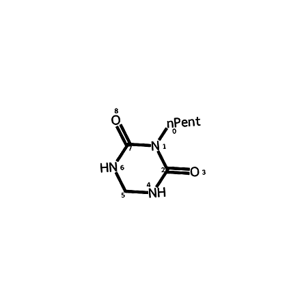 CCCCCN1C(=O)NCNC1=O